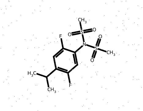 CC(C)c1cc(F)c(N(S(C)(=O)=O)S(C)(=O)=O)cc1F